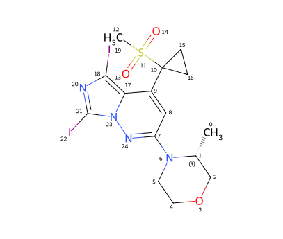 C[C@@H]1COCCN1c1cc(C2(S(C)(=O)=O)CC2)c2c(I)nc(I)n2n1